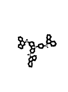 CN(c1ccc(-n2c3ccc(N(C)c4cc5ccccc5c5ccccc45)cc3c3cc(N(C)c4cc5ccccc5c5ccccc45)ccc32)cc1)c1cc2ccccc2c2ccccc12